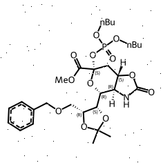 CCCCOP(=O)(OCCCC)O[C@]1(C(=O)OC)C[C@@H]2OC(=O)N[C@H]2[C@H]([C@@H]2OC(C)(C)O[C@@H]2COCc2ccccc2)O1